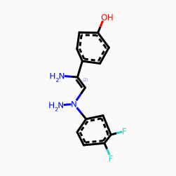 N/C(=C\N(N)c1ccc(F)c(F)c1)c1ccc(O)cc1